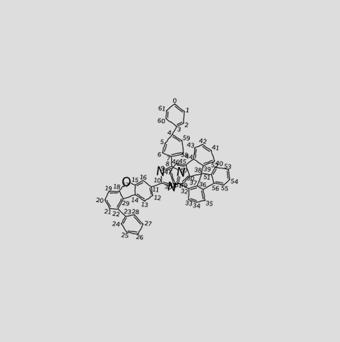 c1ccc(-c2ccc(-c3nc(-c4ccc5c(c4)oc4cccc(-c6ccccc6)c45)nc(-c4cccc5c4C4(c6ccccc6-c6ccccc64)c4ccccc4-5)n3)cc2)cc1